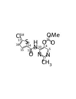 COC(=O)Oc1cnc(C)nc1NC(=O)c1ccc(Cl)s1